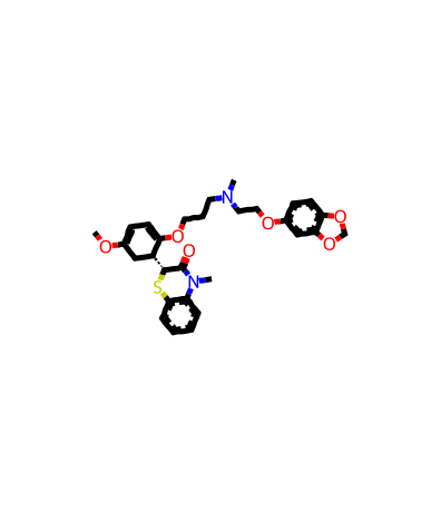 COC1=CC=C(OCCCN(C)CCOc2ccc3c(c2)OCO3)C([C@H]2Sc3ccccc3N(C)C2=O)C1